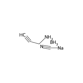 B.C#CCN.N#[C][Na]